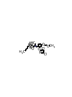 CCCCCS(=O)(=O)NC(=O)/C(=C/c1ccc(OCCOC)cc1Oc1ncc(Cl)cc1Cl)CC